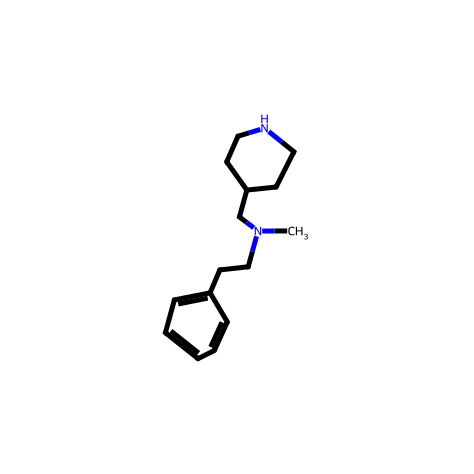 CN(CCc1ccccc1)CC1CCNCC1